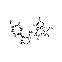 O=C(Nc1ccsc1-c1ccc(F)cc1)c1c[nH]cc1C(F)(F)F